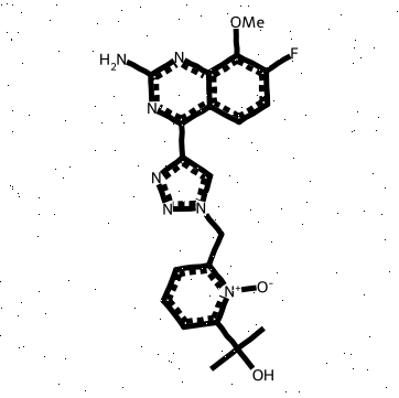 COc1c(F)ccc2c(-c3cn(Cc4cccc(C(C)(C)O)[n+]4[O-])nn3)nc(N)nc12